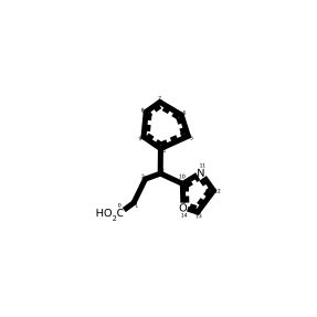 O=C(O)CCC(c1ccccc1)c1ncco1